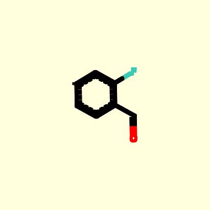 O=Cc1cc[c]cc1F